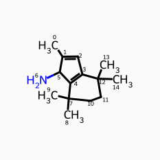 CC1=CC2=C(C1N)C(C)(C)CCC2(C)C